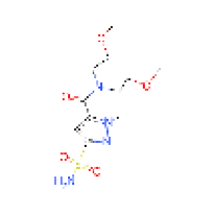 COCCN(CCOC)C(=O)c1cc(S(N)(=O)=O)nn1C